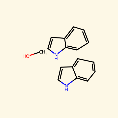 CO.c1ccc2[nH]ccc2c1.c1ccc2[nH]ccc2c1